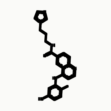 Cc1ccc(O)cc1Nc1ccnc2ccc(C(=O)NCCCn3ccnc3)cc12